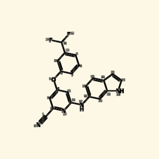 N#Cc1cc(Oc2cccc(C(F)F)c2)cc(Nc2ccc3cc[nH]c3c2)n1